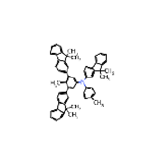 Cc1ccc(N(c2cc(-c3ccc4c(c3)C(C)(C)c3ccccc3-4)c(C)c(-c3ccc4c(c3)C(C)(C)c3ccccc3-4)c2)c2ccc3c(c2)C(C)(C)c2ccccc2-3)cc1